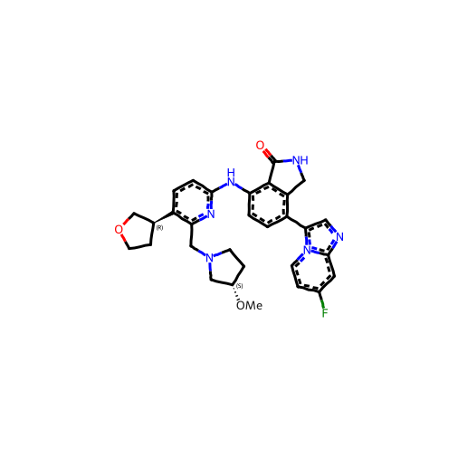 CO[C@H]1CCN(Cc2nc(Nc3ccc(-c4cnc5cc(F)ccn45)c4c3C(=O)NC4)ccc2[C@H]2CCOC2)C1